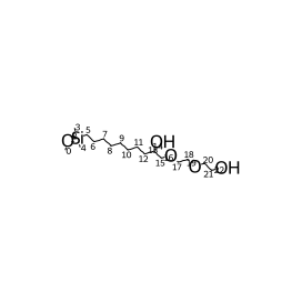 CO[Si](C)(C)CCCCCCCCC(O)COCCOCCO